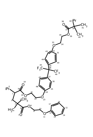 CC(C)C(CC(C)(C)C(=O)OCCOc1ccccc1)C(=O)OCCOc1ccc(C(c2ccc(OCCOC(=O)C(C)(C)C(C)C)cc2)(C(F)(F)F)C(F)(F)F)cc1